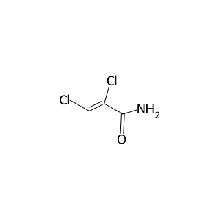 NC(=O)/C(Cl)=C/Cl